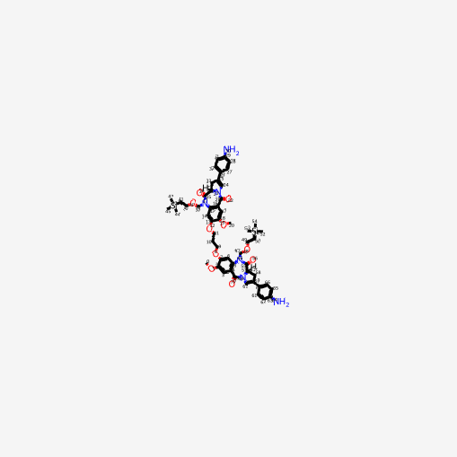 COc1cc2c(cc1OCCCOc1cc3c(cc1OC)C(=O)N1C=C(c4ccc(N)cc4)C[C@H]1C(=O)N3COCC[Si](C)(C)C)N(COCC[Si](C)(C)C)C(=O)[C@@H]1CC(c3ccc(N)cc3)=CN1C2=O